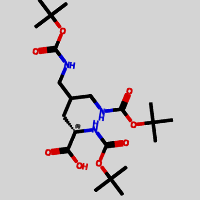 CC(C)(C)OC(=O)NCC(CNC(=O)OC(C)(C)C)C[C@H](NC(=O)OC(C)(C)C)C(=O)O